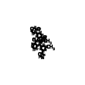 Cc1cc(-c2cnco2)cc(-c2nn(-c3cc(N4CCOCC4=O)ccc3S(C)(=O)=O)c(=O)c3ncccc23)c1